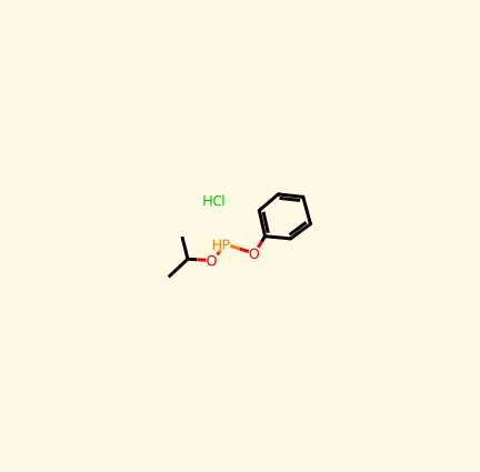 CC(C)OPOc1ccccc1.Cl